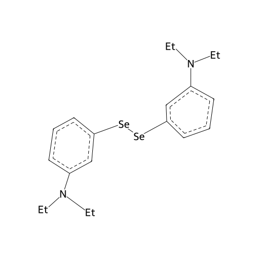 CCN(CC)c1cccc([Se][Se]c2cccc(N(CC)CC)c2)c1